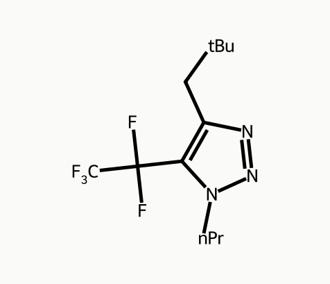 CCCn1nnc(CC(C)(C)C)c1C(F)(F)C(F)(F)F